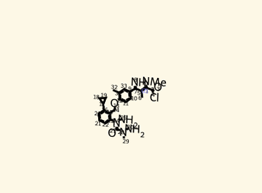 CN/C(C(=O)Cl)=C(/C)C(=N)c1ccc(OCc2c(C3CC3)cccc2N(N)C(=O)N(C)N)c(C)c1